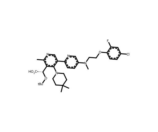 Cc1ncc(-c2ccc(N(C)CCOc3ccc(Cl)cc3F)cn2)c(N2CCC(C)(C)CC2)c1[C@H](OC(C)(C)C)C(=O)O